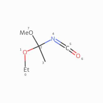 CCOC(C)(N=C=O)OC